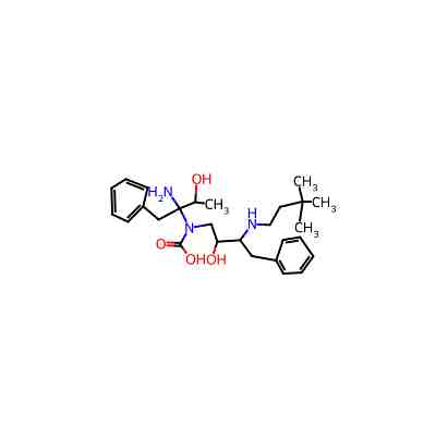 CC(O)C(N)(Cc1ccccc1)N(CC(O)C(Cc1ccccc1)NCCC(C)(C)C)C(=O)O